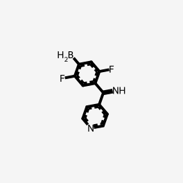 Bc1cc(F)c(C(=N)c2ccncc2)cc1F